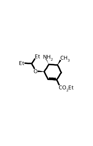 CCOC(=O)C1=C[C@@H](OC(CC)CC)[C@H](N)[C@@H](C)C1